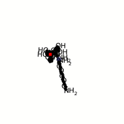 NCCOCCOCCOCCOCCOCCN(N)/C=C(\N)COC1c2c(O)cc(O)cc2OC(c2cc(O)c(O)c(O)c2)C1OC(=O)c1ccccc1